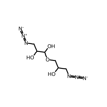 [N-]=[N+]=NCC(O)COC(O)C(O)CN=[N+]=[N-]